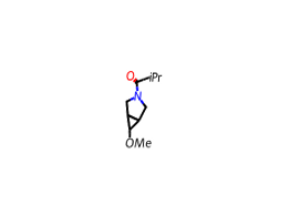 COC1C2CN(C(=O)C(C)C)CC21